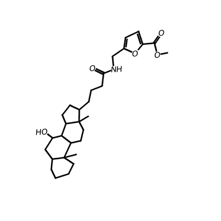 COC(=O)c1ccc(CNC(=O)CCCC2CCC3C4C(O)CC5CCCCC5(C)C4CCC23C)o1